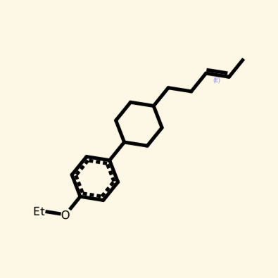 C/C=C/CCC1CCC(c2ccc(OCC)cc2)CC1